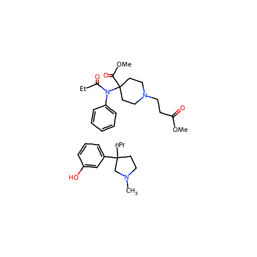 CCC(=O)N(c1ccccc1)C1(C(=O)OC)CCN(CCC(=O)OC)CC1.CCCC1(c2cccc(O)c2)CCN(C)C1